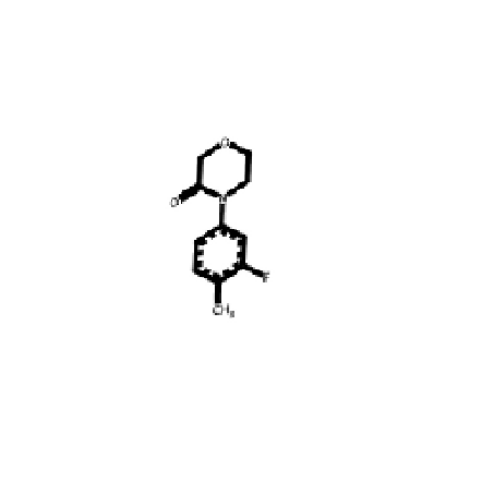 Cc1ccc(N2CCOCC2=O)cc1F